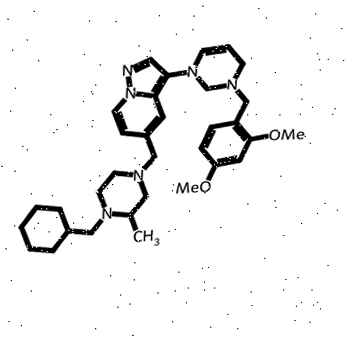 COc1ccc(CN2CC=CN(c3cnn4ccc(CN5CCN(CC6CCCCC6)C(C)C5)cc34)C2)c(OC)c1